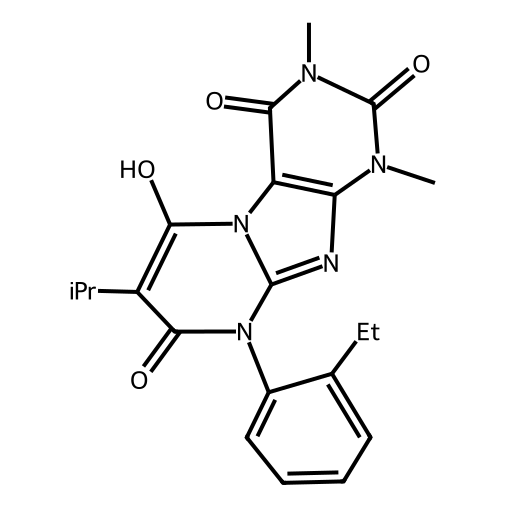 CCc1ccccc1-n1c(=O)c(C(C)C)c(O)n2c3c(=O)n(C)c(=O)n(C)c3nc12